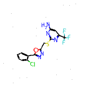 Nc1cc(C(F)(F)F)nc(SCc2nnc(-c3ccccc3Cl)o2)n1